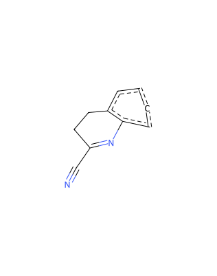 N#CC1=Nc2ccccc2CC1